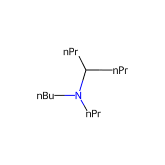 CCCCN(CCC)C(CCC)CCC